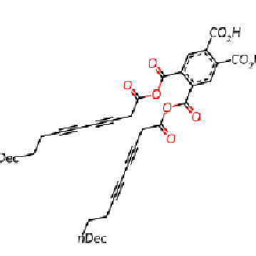 CCCCCCCCCCCCC#CC#CCC(=O)OC(=O)c1cc(C(=O)O)c(C(=O)O)cc1C(=O)OC(=O)CC#CC#CCCCCCCCCCCCC